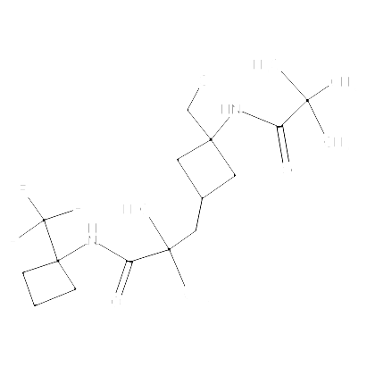 CCC1(NC(=O)C(C)(C)C)CC(CC(C)(C)C(=O)NC2(C(F)(F)F)CCC2)C1